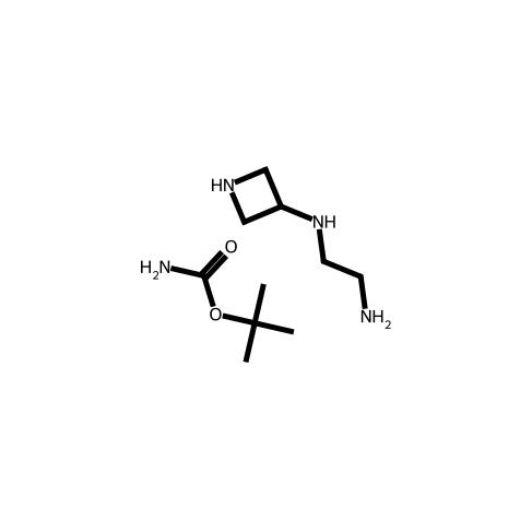 CC(C)(C)OC(N)=O.NCCNC1CNC1